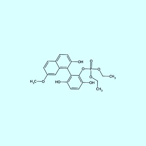 CCOP(=O)(OCC)Oc1c(O)ccc(O)c1-c1c(O)ccc2ccc(OC)cc12